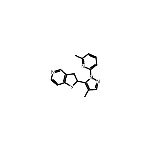 Cc1cccc(-n2ncc(C)c2C2Cc3cnccc3S2)n1